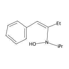 CCC(=Cc1ccccc1)N(O)C(C)C